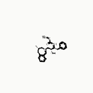 C[C@H]1Cc2ccccc2CN(C[C@@H](O)[C@H](Cc2ccccc2)NC(=O)OC(C)(C)C)C1